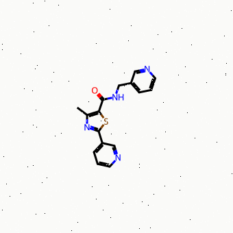 Cc1nc(-c2cccnc2)sc1C(=O)NCc1cccnc1